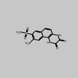 NS(=O)(=O)c1cc2ccc3[nH]c(=O)c(=O)[nH]c3c2cc1[N+](=O)[O-]